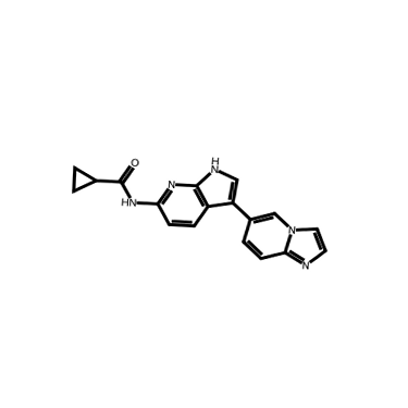 O=C(Nc1ccc2c(-c3ccc4nccn4c3)c[nH]c2n1)C1CC1